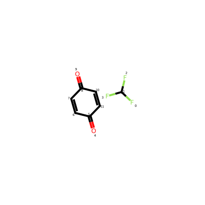 F[C](F)F.O=C1C=CC(=O)C=C1